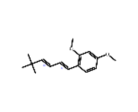 COc1ccc(/C=C/C=C/C(C)(C)C)c(OC)c1